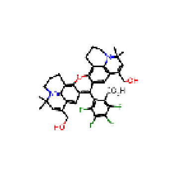 CC1(C)C=C(CO)c2cc3c(c4c2N1CCC4)Oc1c2c4c(cc1=C3c1c(F)c(F)c(F)c(F)c1C(=O)O)C(CO)=CC(C)(C)[N+]=4CCC2